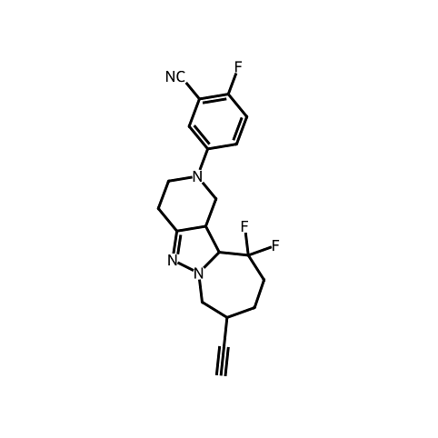 C#CC1CCC(F)(F)C2C3CN(c4ccc(F)c(C#N)c4)CCC3=NN2C1